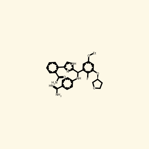 CCOc1cc(O[C@H]2CCOC2)c(F)c(C(Nc2ccc(C(=N)N)cc2)c2nc(-c3ccccc3C(N)=O)c[nH]2)c1